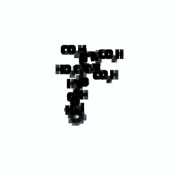 O=C(O)CN1CCN(CC(=O)O)CCN(C(CCC(=O)NCCNC(=O)OCC2[C@H]3CC/C=C\CC[C@@H]23)C(=O)O)CCN(CC(=O)O)CC1